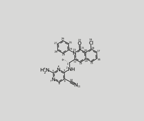 C[C@@H](Nc1nc(N)ncc1C#N)c1cc2cccc(Cl)c2c(=O)n1-c1ccccc1